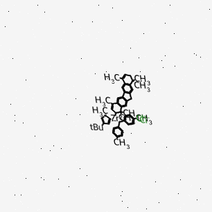 CC1=CCC(C)(C)c2cc3c(cc21)-c1cc2c(cc1C3)C(C)(C)[CH]([Zr+2]([C]1=CC(C(C)(C)C)=CC1C)=[C](c1ccc(C)cc1)c1ccc(C)cc1)C=C2C.[Cl-].[Cl-]